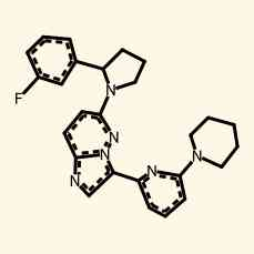 Fc1cccc(C2CCCN2c2ccc3ncc(-c4cccc(N5CCCCC5)n4)n3n2)c1